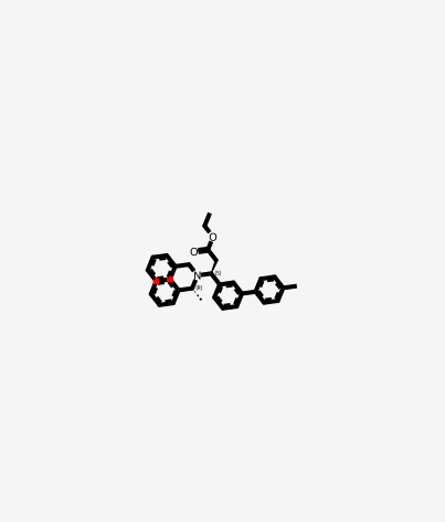 CCOC(=O)C[C@@H](c1cccc(-c2ccc(C)cc2)c1)N(Cc1ccccc1)[C@H](C)c1ccccc1